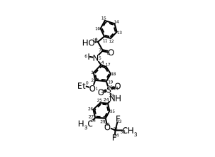 CCOc1cc(N(I)C(=O)[C@@H](O)c2ccccc2)ccc1S(=O)(=O)Nc1ccc(C)c(OC(C)(F)F)c1